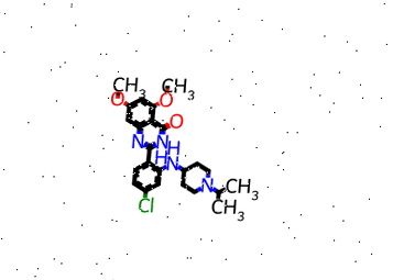 COc1cc(OC)c2c(=O)[nH]c(-c3ccc(Cl)cc3NC3CCN(C(C)C)CC3)nc2c1